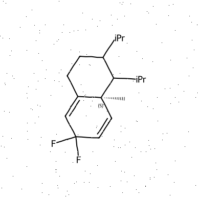 CC(C)C1CCC2=CC(F)(F)C=C[C@]2(C)C1C(C)C